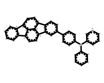 c1ccc(N(c2ccc(-c3ccc4c(c3)-c3ccc5c6c(ccc-4c36)-c3ccccc3-5)cc2)c2cccnc2)cc1